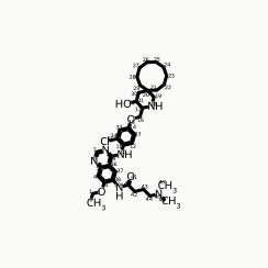 CCOc1cc2ncnc(Nc3ccc(OCC4NCC5(CCCCCCCCC5)CC4O)cc3Cl)c2cc1NC(=O)CCCN(C)C